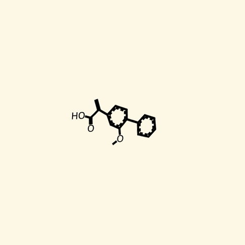 C=C(C(=O)O)c1ccc(-c2ccccc2)c(OC)c1